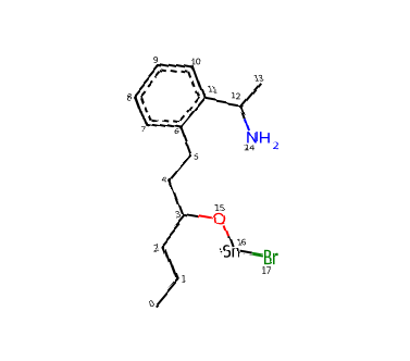 CCCC(CCc1ccccc1C(C)N)[O][Sn][Br]